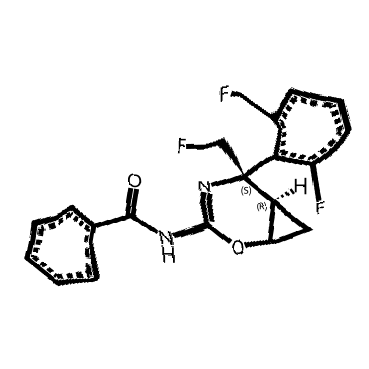 O=C(NC1=N[C@](CF)(c2c(F)cccc2F)[C@H]2CC2O1)c1ccccc1